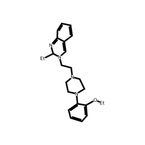 CCOc1ccccc1N1CCN(CCN2C=c3ccccc3=NC2CC)CC1